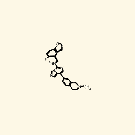 CN1CCc2ccc(-c3cnc(NCc4c(F)ccc5c4CCO5)n4cncc34)cc2C1